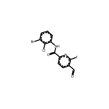 O=Cc1ccc(C(=O)Nc2cccc(Br)c2Cl)nc1F